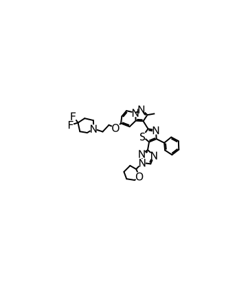 Cc1nn2ccc(OCCN3CCC(F)(F)CC3)cc2c1-c1nc(-c2ccccc2)c(-c2ncn(C3CCCCO3)n2)s1